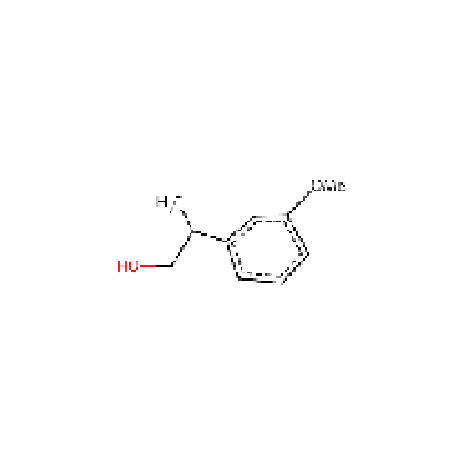 COc1cccc(C(C)CO)c1